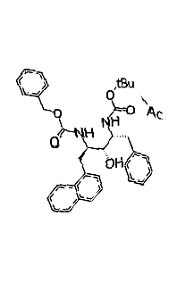 CC(C)(C)OC(=O)N[C@H](Cc1ccccc1)[C@H](O)[C@@H](Cc1cccc2ccccc12)NC(=O)OCc1ccccc1.CC(C)=O